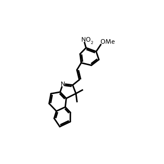 COc1ccc(/C=C/C2=Nc3ccc4ccccc4c3C2(C)C)cc1[N+](=O)[O-]